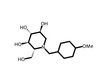 COC1CCC(CN2C[C@H](O)[C@@H](O)[C@H](O)[C@H]2CO)CC1